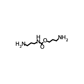 NCCCNC(=O)OCCCN